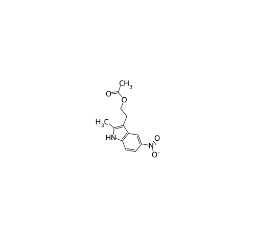 CC(=O)OCCc1c(C)[nH]c2ccc([N+](=O)[O-])cc12